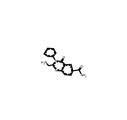 NCc1nc2ccc(C(N)=O)cc2c(=O)n1-c1ccccc1